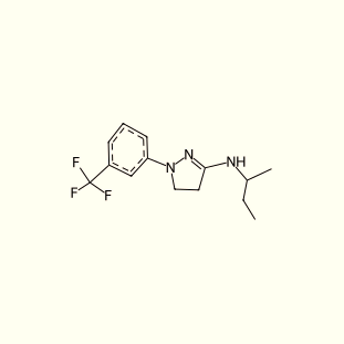 CCC(C)NC1=NN(c2cccc(C(F)(F)F)c2)CC1